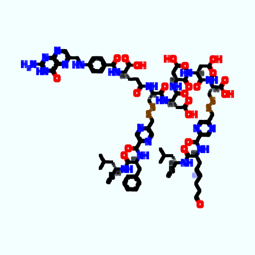 C=B[C@H](CC(C)C)NC(=O)[C@H](C/C=C/CCC=O)NC(=O)c1cnc(CSSC[C@H](NC(=O)[C@H](CC(=O)O)NC(=O)[C@H](CC(=O)O)NC(=O)[C@H](CC(=O)O)NC(=O)[C@H](CSSCc2cnc(C(=O)N[C@@H](Cc3ccccc3)C(=O)N[C@H](B=C)CC(C)C)cn2)NC(=O)CC[C@H](NC(=O)c2ccc(NCc3cnc4nc(N)[nH]c(=O)c4n3)cc2)C(=O)O)C(=O)O)cn1